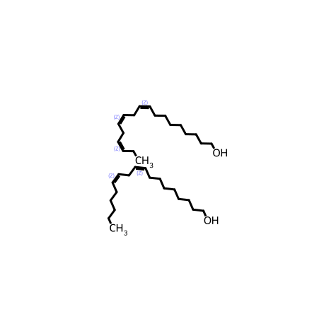 CC/C=C\C/C=C\C/C=C\CCCCCCCCO.CCCCC/C=C\C/C=C\CCCCCCCCO